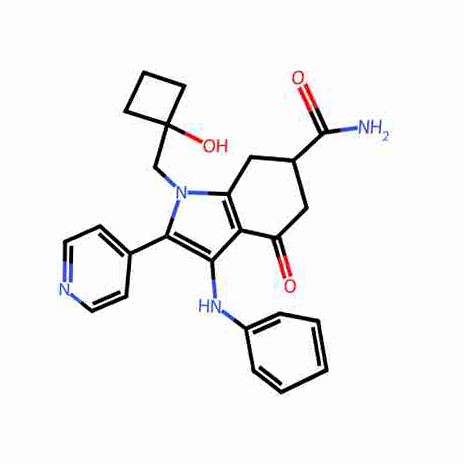 NC(=O)C1CC(=O)c2c(Nc3ccccc3)c(-c3ccncc3)n(CC3(O)CCC3)c2C1